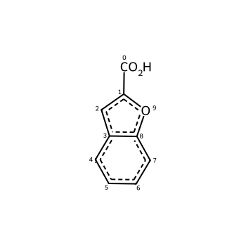 O=C(O)c1cc2[c]cccc2o1